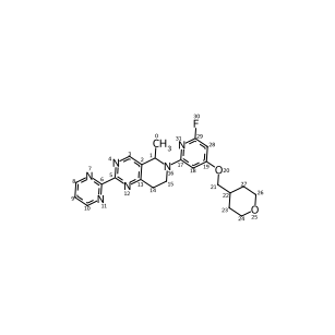 CC1c2cnc(-c3ncccn3)nc2CCN1c1cc(OCC2CCOCC2)cc(F)n1